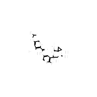 Cc1cc(OC(F)F)cnc1C(=O)Nc1cnc(F)c([C@]2(C)CS(O)(O)C3(CC3)C(N)=N2)c1